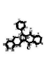 O=C1c2ccccc2C(=O)c2c1c1n(c2-c2ccccc2)Cc2ccccc2C1